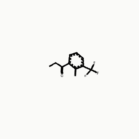 CCC(=O)c1cccc(C(F)(F)F)c1C